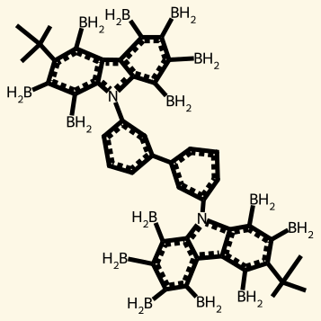 Bc1c(B)c(B)c2c(c1B)c1c(B)c(C(C)(C)C)c(B)c(B)c1n2-c1cccc(-c2cccc(-n3c4c(B)c(B)c(B)c(B)c4c4c(B)c(C(C)(C)C)c(B)c(B)c43)c2)c1